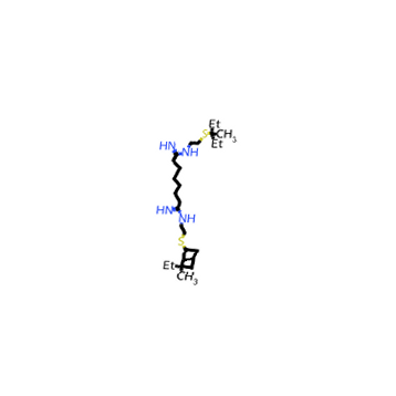 CCC(C)(CC)SCCNC(=N)CCCCCCC(=N)NCCSC1CC2CC(C)(CC)C21